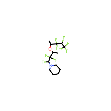 CC(OC(C)C(F)(F)C(F)C(F)(F)F)C(F)(F)C(F)N1CCCCC1